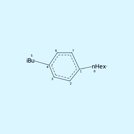 CCCCC[CH]c1ccc(C(C)CC)cc1